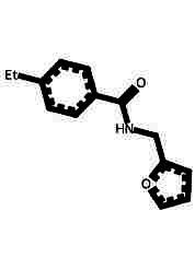 CCc1ccc(C(=O)NCc2ccco2)cc1